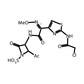 CO/N=C(\C(=O)NC1C(=O)N(S(=O)(=O)O)C1C(C)=O)c1csc(NC(=O)CCl)n1